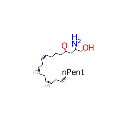 CCCCC/C=C\C/C=C\C/C=C\C/C=C\CCCC(=O)CC(N)CO